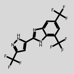 FC(F)(F)c1cc(C(F)(F)F)c2[nH]c(-c3cc(C(F)(F)F)n[nH]3)nc2c1